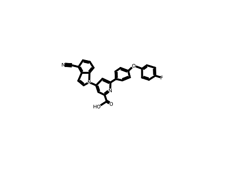 N#Cc1cccc2c1ccn2-c1cc(C(=O)O)nc(-c2ccc(Oc3ccc(F)cc3)cc2)c1